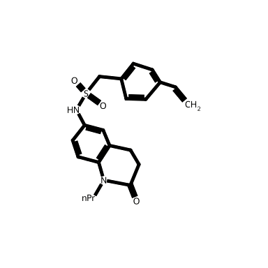 C=Cc1ccc(CS(=O)(=O)Nc2ccc3c(c2)CCC(=O)N3CCC)cc1